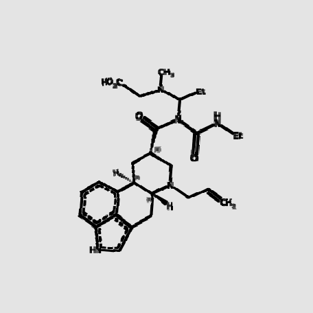 C=CCN1C[C@H](C(=O)N(C(=O)NCC)C(CC)N(C)CC(=O)O)C[C@@H]2c3cccc4[nH]cc(c34)C[C@H]21